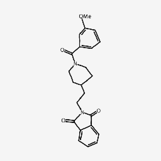 COc1cccc(C(=O)N2CCC(CCN3C(=O)c4ccccc4C3=O)CC2)c1